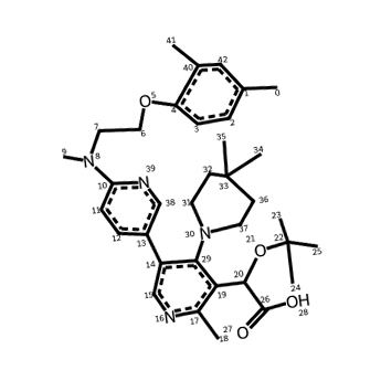 Cc1ccc(OCCN(C)c2ccc(-c3cnc(C)c(C(OC(C)(C)C)C(=O)O)c3N3CCC(C)(C)CC3)cn2)c(C)c1